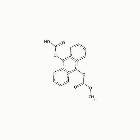 COC(=O)Oc1c2ccccc2c(OC(=O)O)c2ccccc12